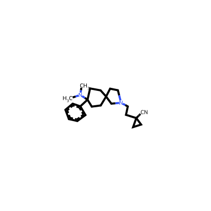 CN(C)C1(c2ccccc2)CCC2(CCN(CCC3(C#N)CC3)C2)CC1